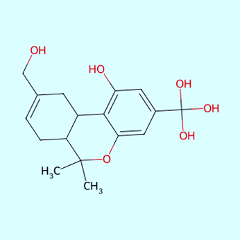 CC1(C)Oc2cc(C(O)(O)O)cc(O)c2C2CC(CO)=CCC21